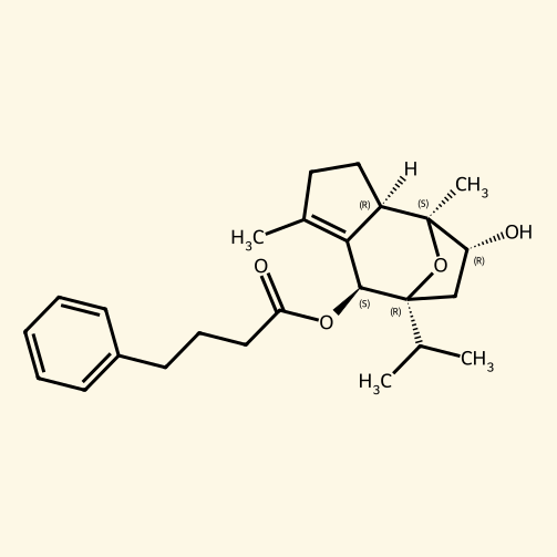 CC1=C2[C@@H](CC1)[C@]1(C)O[C@@](C(C)C)(C[C@H]1O)[C@H]2OC(=O)CCCc1ccccc1